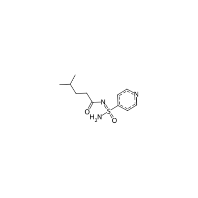 CC(C)CCC(=O)N=S(N)(=O)c1ccncc1